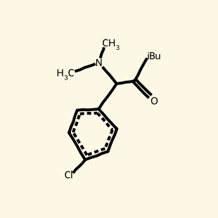 CCC(C)C(=O)C(c1ccc(Cl)cc1)N(C)C